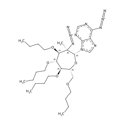 CCCCOC[C@H]1O[C@@H](n2cnc3c(N=[N+]=[N-])ncnc32)[C@](C)(N=[N+]=[N-])[C@H](OCCCC)[C@@H](OCCCC)[C@@H]1OCCCC